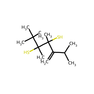 C=C(C(C)C)C(C)(S)C(C)(S)C(C)(C)C